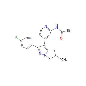 CCC(=O)Nc1cc(-c2c(-c3ccc(F)cc3)nn3c2CC(C)C3)ccn1